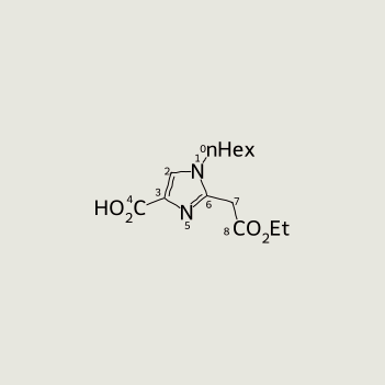 CCCCCCn1cc(C(=O)O)nc1CC(=O)OCC